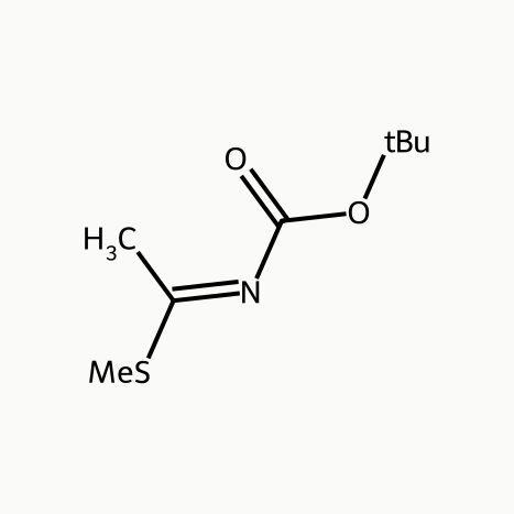 CS/C(C)=N/C(=O)OC(C)(C)C